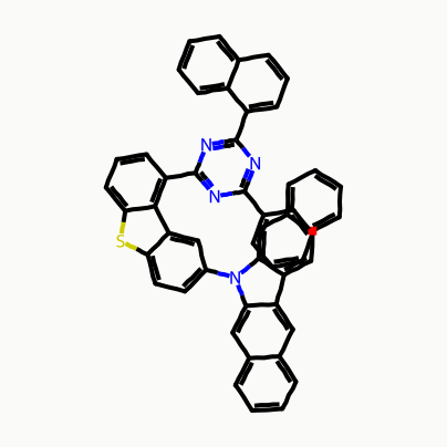 c1ccc(-c2nc(-c3cccc4ccccc34)nc(-c3cccc4sc5ccc(-n6c7cc8ccccc8cc7c7cc8ccccc8cc76)cc5c34)n2)cc1